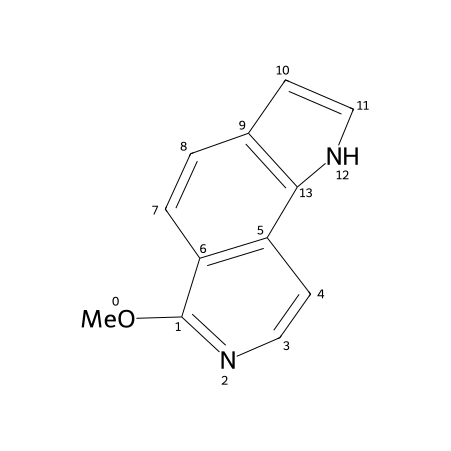 COc1nccc2c1ccc1cc[nH]c12